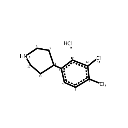 Cl.Clc1ccc(C2CCNCC2)cc1Cl